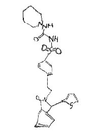 O=C(NN1CCCCC1)NS(=O)(=O)c1ccc(CCN2C(=O)c3ccccc3C2c2cccs2)cc1